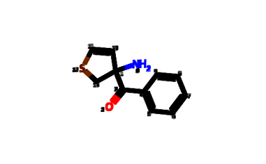 NC1(C(=O)c2ccccc2)C=CSC1